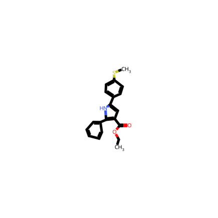 CCOC(=O)c1cc(-c2ccc(SC)cc2)[nH]c1-c1ccccc1